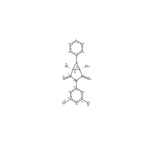 O=C1[C@@H]2C(c3ccccc3)[C@@H]2C(=O)N1c1cc(Cl)cc(Cl)c1